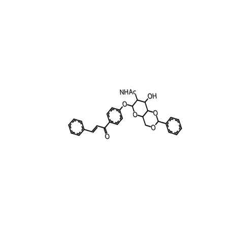 CC(=O)NC1C(Oc2ccc(C(=O)/C=C/c3ccccc3)cc2)OC2COC(c3ccccc3)OC2C1O